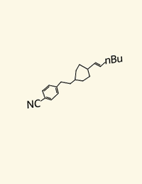 CCCCC=CC1CCC(CCc2ccc(C#N)cc2)CC1